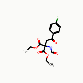 CCOC(=O)C(CC(=O)c1ccc(Cl)cc1)(NC=O)C(=O)OCC